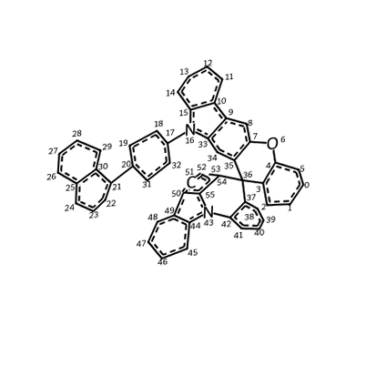 c1ccc2c(c1)Oc1cc3c4ccccc4n(-c4ccc(-c5cccc6ccccc56)cc4)c3cc1C21c2ccccc2-n2c3ccccc3c3cccc1c32